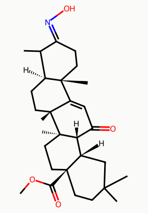 COC(=O)[C@]12CCC(C)(C)C[C@H]1[C@H]1C(=O)C=C3[C@@]4(C)CCC(=NO)C(C)[C@@H]4CC[C@@]3(C)[C@]1(C)CC2